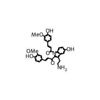 COc1cc(C=CC(=O)c2c(CCN)c3cc(O)ccc3n2C(=O)C=Cc2ccc(O)c(OC)c2)ccc1O